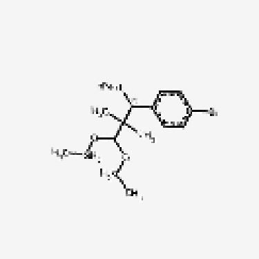 CCCCC[C@@H](c1ccc(Br)cc1)C(C)(C)C(O[SiH2]C)O[SiH2]C